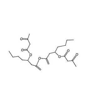 C=C(CC(CCCC)OC(=O)CC(C)=O)OC(=C)CC(CCCC)OC(=O)CC(C)=O